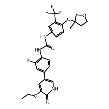 CCOc1cc(-c2ccc(NC(=O)Nc3ccc(OC4(C)CCOC4)c(C(F)(F)F)c3)c(F)c2)c[nH]c1=O